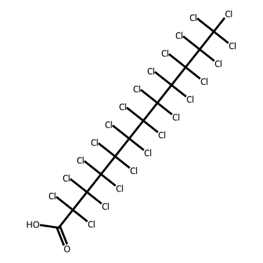 O=C(O)C(Cl)(Cl)C(Cl)(Cl)C(Cl)(Cl)C(Cl)(Cl)C(Cl)(Cl)C(Cl)(Cl)C(Cl)(Cl)C(Cl)(Cl)C(Cl)(Cl)C(Cl)(Cl)C(Cl)(Cl)Cl